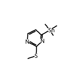 CSc1ncc[c]([Sn]([CH3])([CH3])[CH3])n1